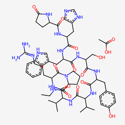 CC(=O)O.CCNC(=O)C1CCCN1C(=O)C(CCCN=C(N)N)NC(=O)C(NC(=O)C(NC(=O)C(Cc1ccc(O)cc1)NC(=O)C(CO)NC(=O)C(Cc1c[nH]c2ccccc12)NC(=O)C(Cc1cnc[nH]1)NC(=O)C1CCC(=O)N1)C(C)C)C(C)C